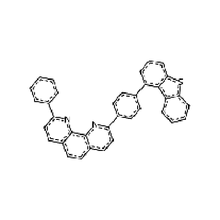 c1ccc(-c2ccc3ccc4ccc(-c5ccc(-c6cccc7sc8ccccc8c67)cc5)nc4c3n2)cc1